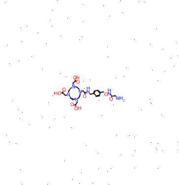 NCC(=O)NOCc1ccc(CNC(=O)CN2CCN(CC(=O)O)CCN(CC(=O)O)CCN(CC(=O)O)CC2)cc1